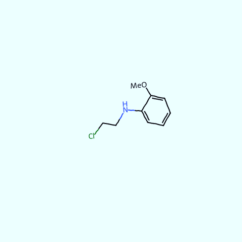 COc1ccccc1NCCCl